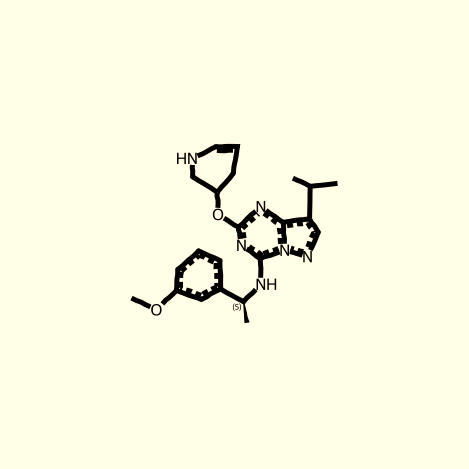 COc1cccc([C@H](C)Nc2nc(OC3CC=CNC3)nc3c(C(C)C)cnn23)c1